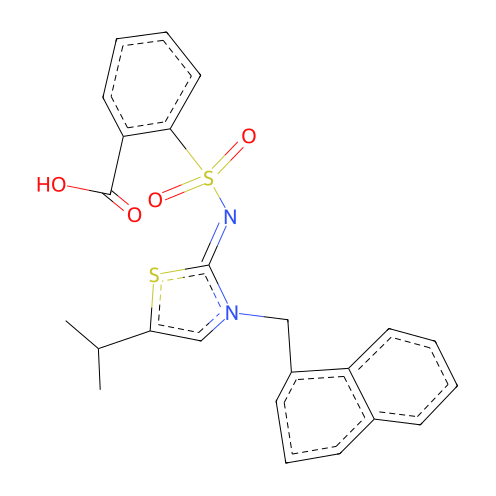 CC(C)c1cn(Cc2cccc3ccccc23)c(=NS(=O)(=O)c2ccccc2C(=O)O)s1